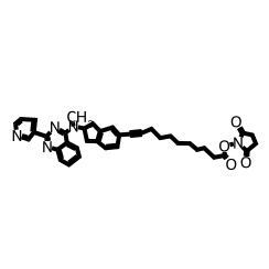 CN(c1nc(-c2cccnc2)nc2ccccc12)C1Cc2ccc(C#CCCCCCCCCC(=O)ON3C(=O)CCC3=O)cc2C1